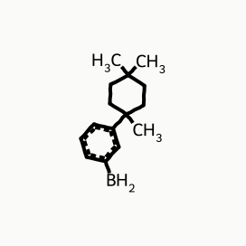 Bc1cccc(C2(C)CCC(C)(C)CC2)c1